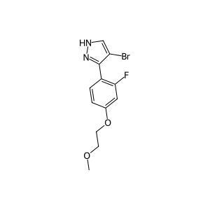 COCCOc1ccc(-c2n[nH]cc2Br)c(F)c1